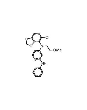 COCCN(c1ccnc(Nc2ccccc2)n1)c1c(Cl)ccc2c1OCO2